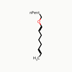 CC=CCCCC=COCCCCCC